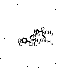 C[C@H](c1ccc2c(c1)OCO2)N1CCN(c2ncc(C(=O)N(C)CCN(C)C)s2)CC1